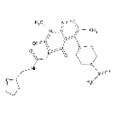 CC(=O)N1CCN(c2c(C)cnc3c2c(=O)n(CC(=O)NCC2CCCO2)c(=O)n3C)CC1